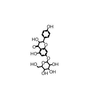 O=C1c2c(O)cc(OC3OC(CO)C(O)C(O)C3O)cc2OC(c2ccc(O)cc2)C1O